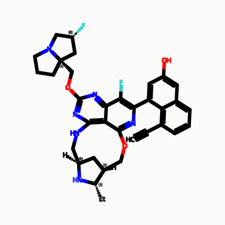 C#Cc1cccc2cc(O)cc(-c3nc4c5c(nc(OC[C@@]67CCCN6C[C@H](F)C7)nc5c3F)NC[C@H]3C[C@H](CO4)[C@H](CC)N3)c12